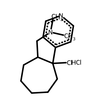 CN(C)CC1CCCCCC1(Cl)c1ccncc1.Cl